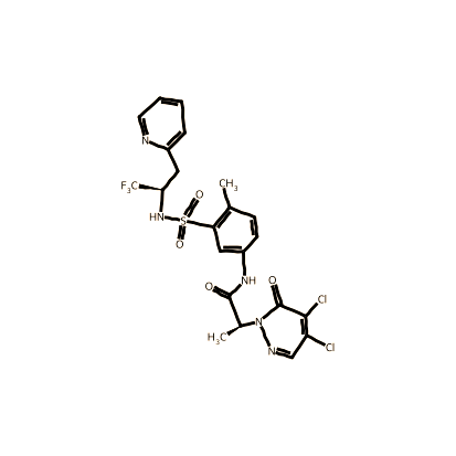 Cc1ccc(NC(=O)[C@H](C)n2ncc(Cl)c(Cl)c2=O)cc1S(=O)(=O)N[C@H](Cc1ccccn1)C(F)(F)F